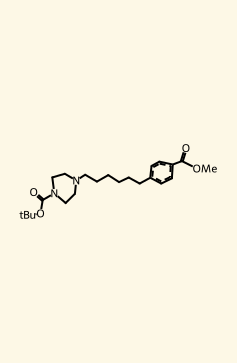 COC(=O)c1ccc(CCCCCCN2CCN(C(=O)OC(C)(C)C)CC2)cc1